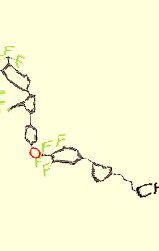 CCCCCc1ccc(-c2cc(F)c(C(F)(F)Oc3ccc(-c4ccc(-c5ccc(C(F)(F)F)c(F)c5)c(F)c4)cc3)c(F)c2)cc1